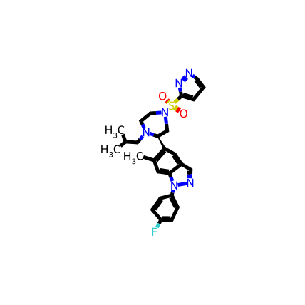 Cc1cc2c(cnn2-c2ccc(F)cc2)cc1[C@@H]1CN(S(=O)(=O)c2cccnn2)CCN1CC(C)C